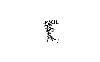 Cc1cn2nccc(-c3ccc(OC[C@@H](C)CC(C)(C)N)c(C)n3)c2n1